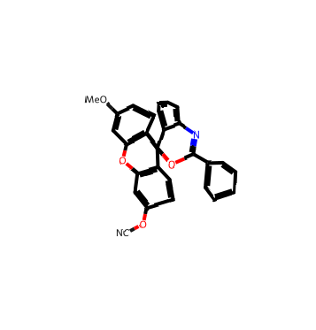 COc1ccc2c(c1)Oc1cc(OC#N)ccc1C21OC(c2ccccc2)=Nc2ccccc21